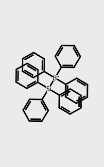 c1ccc([B-](c2ccccc2)(c2ccccc2)[Si](c2ccccc2)(c2ccccc2)c2ccccc2)cc1